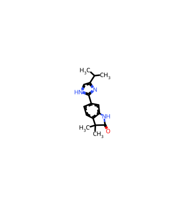 CC(C)c1c[nH]c(-c2ccc3c(c2)NC(=O)C3(C)C)n1